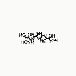 C[C@@H](N[C@@H](CO)[C@@H](O)CO)c1cnc(C[C@H](O)[C@H](O)CO)cn1